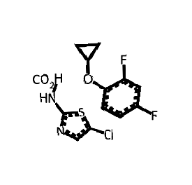 Fc1ccc(OC2CC2)c(F)c1.O=C(O)Nc1ncc(Cl)s1